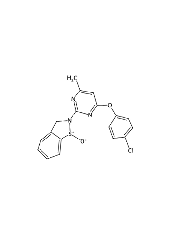 Cc1cc(Oc2ccc(Cl)cc2)nc(N2Cc3ccccc3[S+]2[O-])n1